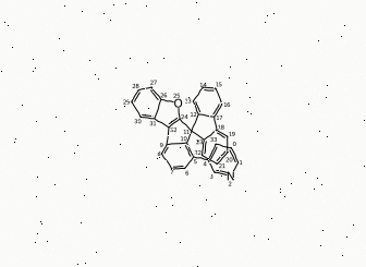 c1cncc(-c2cccc3c2C2(c4ccccc4-c4ccccc42)c2oc4ccccc4c2-3)c1